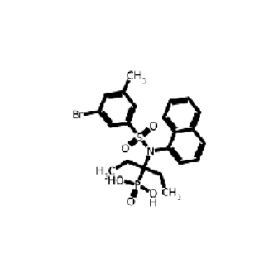 CCC(CC)(N(c1cccc2ccccc12)S(=O)(=O)c1cc(C)cc(Br)c1)P(=O)(O)O